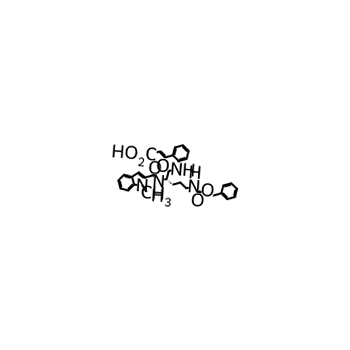 Cn1c(C(=O)N[C@@H](CCCNC(=O)OCc2ccccc2)C(=O)Nc2ccccc2/C=C/C(=O)O)cc2ccccc21